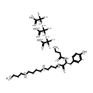 CCCC(=O)N[C@@H](Cc1ccc(O)cc1)C(=O)NCCCNCCCCNCCCN.O=C(O)C(F)(F)F.O=C(O)C(F)(F)F.O=C(O)C(F)(F)F